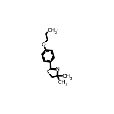 [CH2]CCOc1ccc(C2=NC(C)(C)CS2)cc1